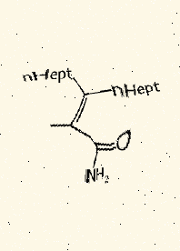 CCCCCCCC(CCCCCCC)=C(C)C(N)=O